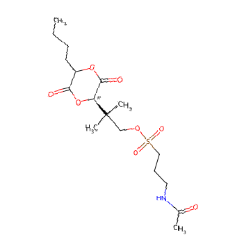 CCCCC1OC(=O)[C@@H](C(C)(C)COS(=O)(=O)CCCNC(C)=O)OC1=O